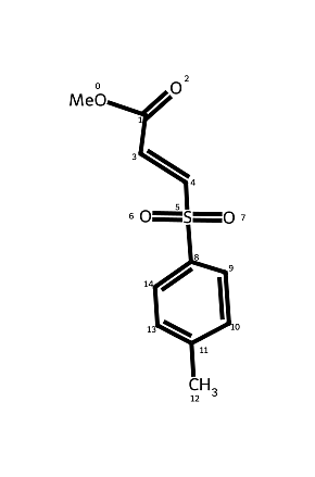 COC(=O)/C=C/S(=O)(=O)c1ccc(C)cc1